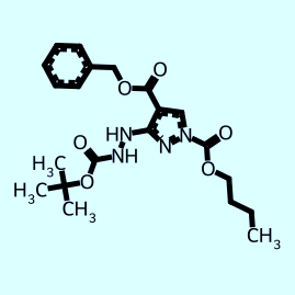 CCCCOC(=O)n1cc(C(=O)OCc2ccccc2)c(NNC(=O)OC(C)(C)C)n1